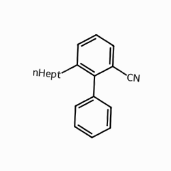 CCCCCCCc1cccc(C#N)c1-c1ccccc1